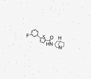 O=C(N[C@@H]1C[C@H]2CCN(C2)C1)c1ccc(-c2cccc(F)c2)s1